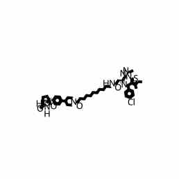 Cc1sc2c(c1C)C(c1ccc(Cl)cc1)=N[C@@H](CC(=O)NCCCCCCCCCCC(=O)N1CCC(c3ccc([C@@]45CC[C@@H](O4)C(=O)NC5=O)cc3)CC1)c1nnc(C)n1-2